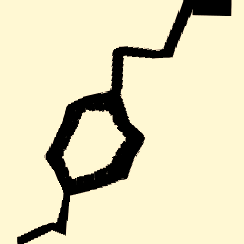 C=CCCc1ccc(CC)cc1